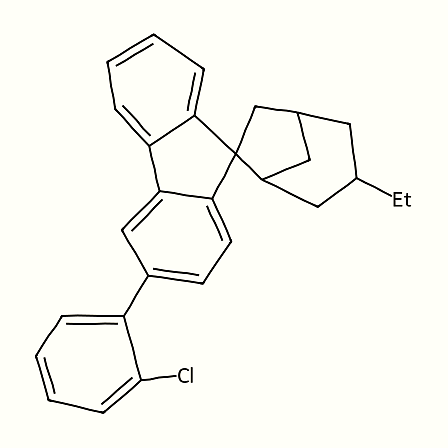 CCC1CC2CC(C1)C1(C2)c2ccccc2-c2cc(-c3ccccc3Cl)ccc21